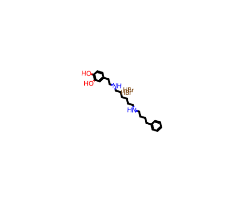 Br.Br.Oc1ccc(CCNCCCCCCNCCCCc2ccccc2)cc1O